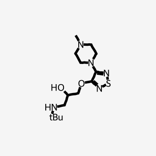 CN1CCN(c2nsnc2OCC(O)CNC(C)(C)C)CC1